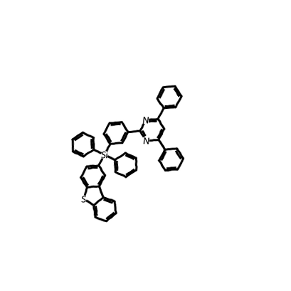 c1ccc(-c2cc(-c3ccccc3)nc(-c3cccc([Si](c4ccccc4)(c4ccccc4)c4ccc5sc6ccccc6c5c4)c3)n2)cc1